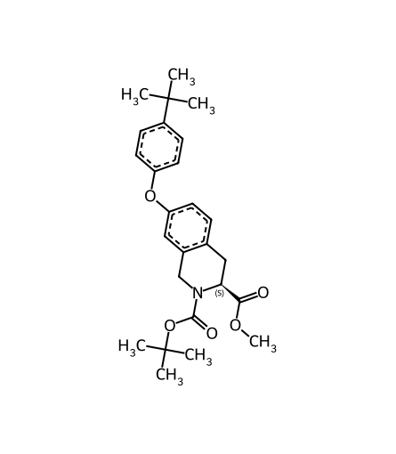 COC(=O)[C@@H]1Cc2ccc(Oc3ccc(C(C)(C)C)cc3)cc2CN1C(=O)OC(C)(C)C